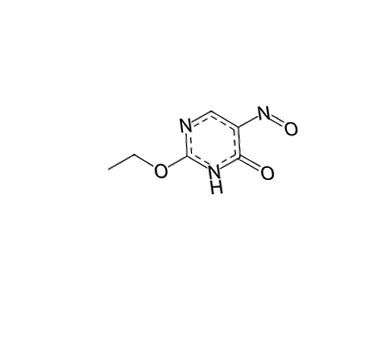 CCOc1ncc(N=O)c(=O)[nH]1